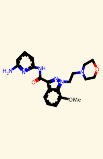 COc1cccc2c(C(=O)Nc3cccc(N)n3)nn(CCN3CCOCC3)c12